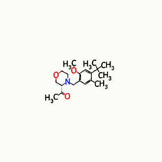 COc1cc(C(C)(C)C)c(C)cc1CN1CCOC[C@H]1C(C)=O